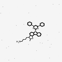 CC1Sc2c(ccc3c2c2ccccc2n3-c2nc(-c3ccccc3)cc(-c3ccccc3)n2)C1CCCCN